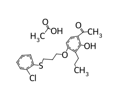 CC(=O)O.CCCc1c(OCCCSc2ccccc2Cl)ccc(C(C)=O)c1O